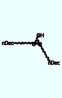 CCCCCCCCCCCCCCCCCCCCCCOc1cc(CCO)cc(OCCCCCCCCCCCCCCCCCCCCCC)c1